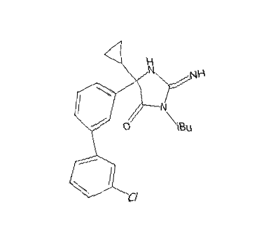 CCC(C)N1C(=N)NC(c2cccc(-c3cccc(Cl)c3)c2)(C2CC2)C1=O